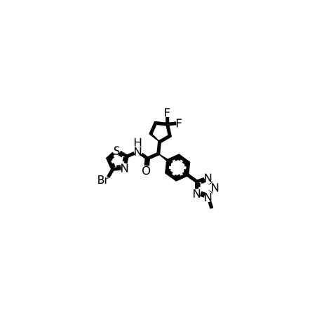 Cn1nnc(-c2ccc([C@@H](C(=O)Nc3nc(Br)cs3)[C@H]3CCC(F)(F)C3)cc2)n1